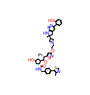 Cc1ncsc1-c1ccc([C@H](C)NC(=O)[C@@H]2C[C@@H](O)CC2C(=O)[C@@H](c2cc(OCCN3CC(C4(C)Cc5cc(-c6ccccc6O)nnc5N4)C3)no2)C(C)C)cc1